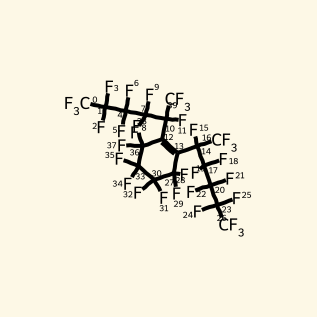 FC(F)(F)C(F)(F)C(F)(F)C(F)(F)C(F)(C1=C(C(F)(C(F)(F)F)C(F)(F)C(F)(F)C(F)(F)C(F)(F)F)C(F)(F)C(F)(F)C(F)(F)C1(F)F)C(F)(F)F